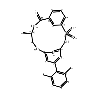 Cc1cccc(C)c1-c1cc2nc(n1)NS(=O)(=O)c1cccc(c1)C(=O)N[C@H](C)CO2